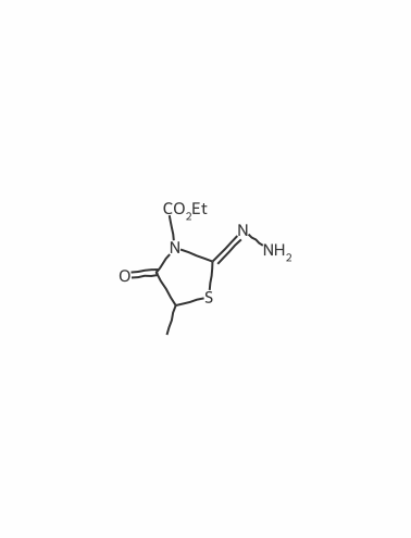 CCOC(=O)N1C(=O)C(C)SC1=NN